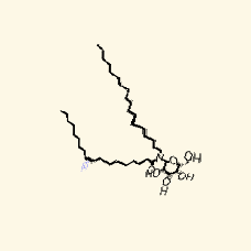 CCCCCCCC/C=C\CCCCCCCC(=O)N(CCCCCCCCCCCCCCCCCC)C1O[C@H](CO)[C@@H](O)[C@H](O)[C@H]1O